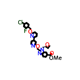 COC(=O)c1ccc2nc(COc3cc(-c4cccc(OCc5ccc(Cl)cc5F)n4)ccn3)n(C[C@@H]3CCO3)c2c1